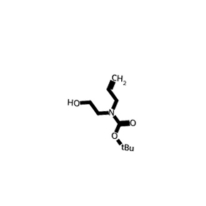 C=CCN(CCO)C(=O)OC(C)(C)C